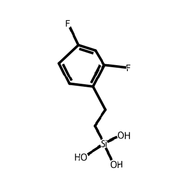 O[Si](O)(O)CCc1ccc(F)cc1F